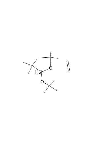 C=C.CC(C)(C)O[SiH](OC(C)(C)C)C(C)(C)C